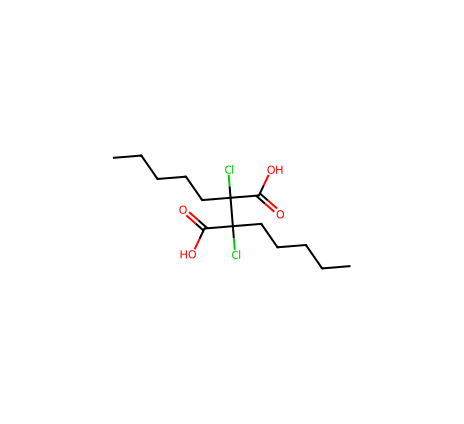 CCCCCC(Cl)(C(=O)O)C(Cl)(CCCCC)C(=O)O